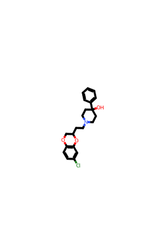 OC1(c2ccccc2)CCN(CCC2COc3ccc(Cl)cc3O2)CC1